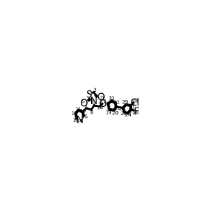 O=C1CSC(=O)N1C(CCc1cccnc1)COc1ccc(-c2ccc(F)c(Cl)c2)cc1